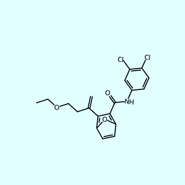 C=C(CCOCC)c1c(C(=O)Nc2ccc(Cl)c(Cl)c2)c2ccc1o2